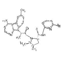 Cc1ccc2c(c1)c1c(N)ncnc1n2C(C)C(=O)N1[C@H](C)[C@H](C)C[C@H]1C(=O)Nc1cccc(Br)n1